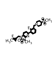 CN1c2nc(-c3cccc(CN4CCC(S(C)(=O)=O)CC4)c3F)ccc2N(CC2CC2(C)F)S1(=O)=O